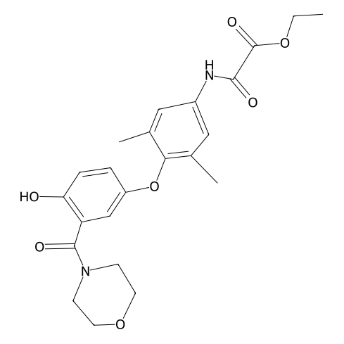 CCOC(=O)C(=O)Nc1cc(C)c(Oc2ccc(O)c(C(=O)N3CCOCC3)c2)c(C)c1